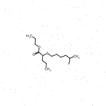 CCCOC(=O)C(CCC)SCCCCC(C)F